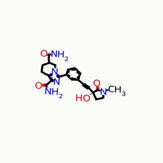 CN1CC[C@@](O)(C#Cc2cccc(-c3nc(C(N)=O)c4n3CC(C(N)=O)CC4)c2)C1=O